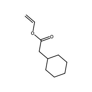 C=COC(=O)CC1CCCCC1